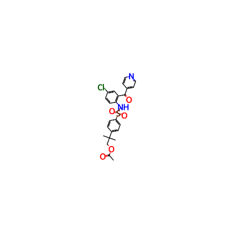 CC(=O)OCC(C)(C)c1ccc(S(=O)(=O)Nc2ccc(Cl)cc2C(=O)c2ccncc2)cc1